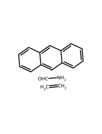 C=C.NC=O.c1ccc2cc3ccccc3cc2c1